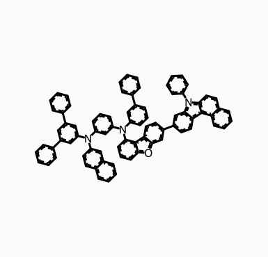 c1ccc(-c2cc(-c3ccccc3)cc(N(c3cccc(N(c4cccc(-c5ccccc5)c4)c4cccc5oc6cc(-c7ccc8c9c%10ccccc%10ccc9n(-c9ccccc9)c8c7)ccc6c45)c3)c3ccc4ccccc4c3)c2)cc1